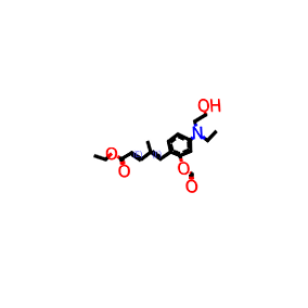 CCOC(=O)/C=C/C(C)=C/c1ccc(N(CC)CCO)cc1OC=O